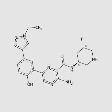 Nc1ncc(-c2cc(-c3cnn(CC(F)(F)F)c3)ccc2O)nc1C(=O)N[C@@H]1CNC[C@@H](F)C1